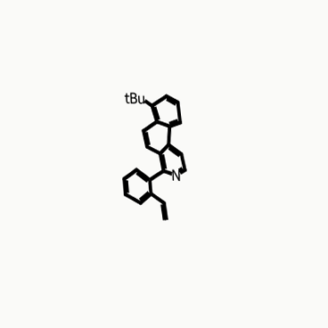 C=Cc1ccccc1-c1nccc2c1ccc1c(C(C)(C)C)cccc12